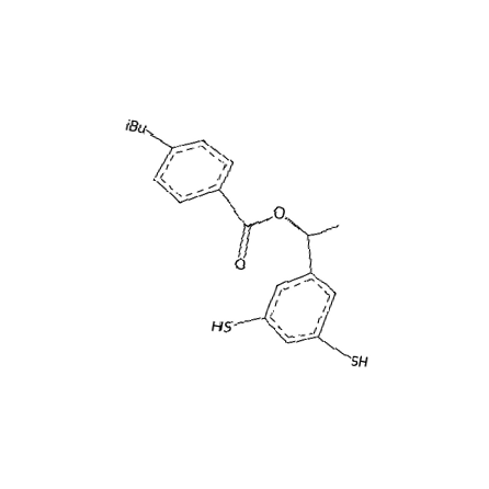 CCC(C)c1ccc(C(=O)OC(C)c2cc(S)cc(S)c2)cc1